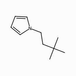 CC(C)(C)CCn1cccc1